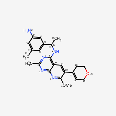 COc1nc2nc(C)nc(N[C@H](C)c3cc(N)cc(C(F)(F)F)c3)c2cc1C1=CCOCC1